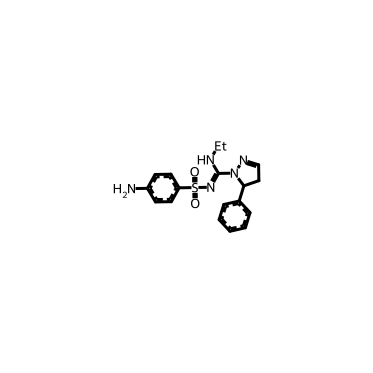 CCN/C(=N\S(=O)(=O)c1ccc(N)cc1)N1N=CCC1c1ccccc1